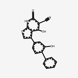 N#Cc1c(O)c2c(-c3ccc(-c4ccccc4)c(O)c3)csc2[nH]c1=O